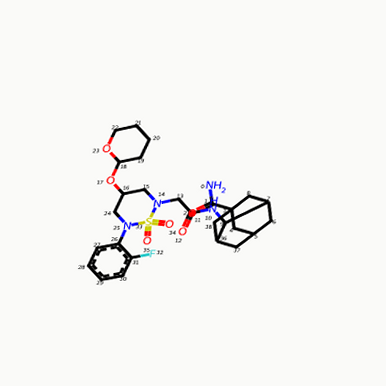 NC(=O)C12CC3CC(C1)C(NC(=O)CN1CC(OC4CCCCO4)CN(c4ccccc4F)S1(=O)=O)C(C3)C2